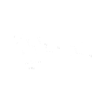 CNS(=O)(=O)c1ccc(OC(F)(F)F)c(C(=O)N2CCN(c3ccc(C#N)c(F)c3)CC2)c1